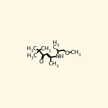 COCC(C)NC(C)=CC(=O)C(C)(C)C